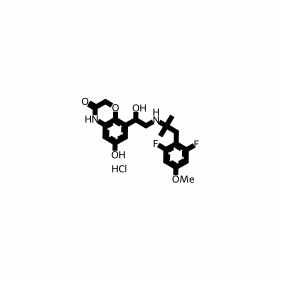 COc1cc(F)c(CC(C)(C)NCC(O)c2cc(O)cc3c2OCC(=O)N3)c(F)c1.Cl